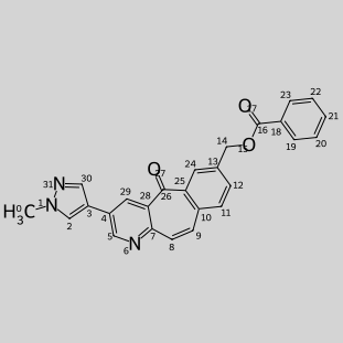 Cn1cc(-c2cnc3ccc4ccc(COC(=O)c5ccccc5)cc4c(=O)c3c2)cn1